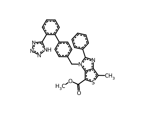 COC(=O)c1sc(C)c2nc(-c3ccccc3)n(Cc3ccc(-c4ccccc4-c4nnn[nH]4)cc3)c12